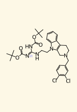 CC(C)(C)OC(=O)/N=C(/NCCn1c2c(c3ccccc31)CCN(Cc1ccc(Cl)c(Cl)c1)C2)NC(=O)OC(C)(C)C